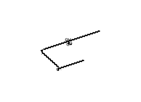 CCCCCCCCCCCCCCCCCCCCCCCCC(C(=O)OC)[C@H](O)CCCCCCCCCCCCCCCCCC[C@H]1C[C@@H]1[C@@H](C)CCCCCCCCCCCCCCC[C@H](OC)[C@@H](C)CCCCCCCCCCCCCCCCCC